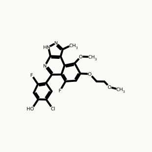 COCCOc1cc(F)c2c(-c3cc(Cl)c(O)cc3F)nc3[nH]nc(C)c3c2c1OC